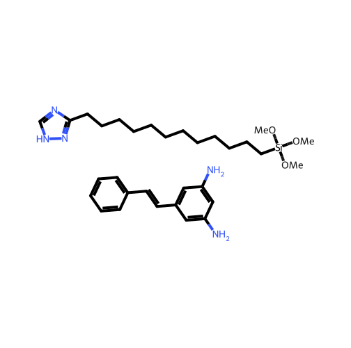 CO[Si](CCCCCCCCCCCCc1nc[nH]n1)(OC)OC.Nc1cc(N)cc(C=Cc2ccccc2)c1